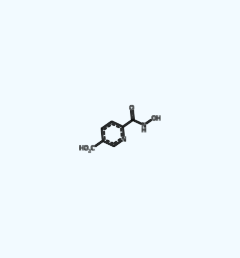 O=C(O)c1ccc(C(=O)NO)nc1